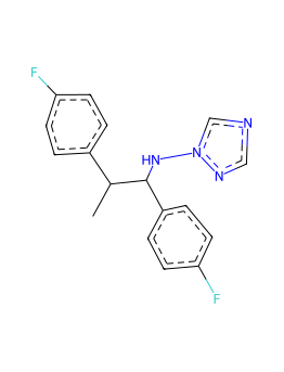 CC(c1ccc(F)cc1)C(Nn1cncn1)c1ccc(F)cc1